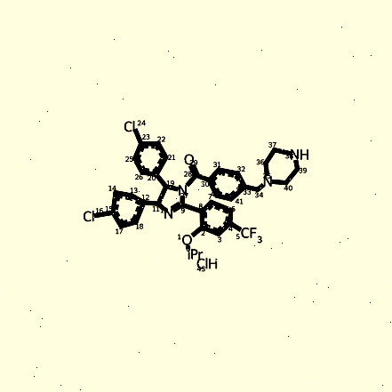 CC(C)Oc1cc(C(F)(F)F)ccc1C1=NC(c2ccc(Cl)cc2)C(c2ccc(Cl)cc2)N1C(=O)c1ccc(CN2CCNCC2)cc1.Cl